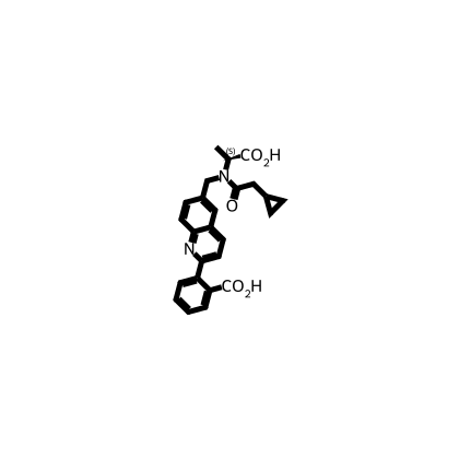 C[C@@H](C(=O)O)N(Cc1ccc2nc(-c3ccccc3C(=O)O)ccc2c1)C(=O)CC1CC1